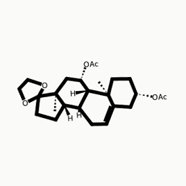 CC(=O)O[C@H]1CC[C@@]2(C)C(=CC[C@@H]3[C@@H]2[C@@H](OC(C)=O)C[C@@]2(C)[C@H]3CCC23OCCO3)C1